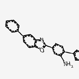 Nc1cc(-c2nc3cc(-c4ccccc4)ccc3o2)ccc1-c1ccsc1